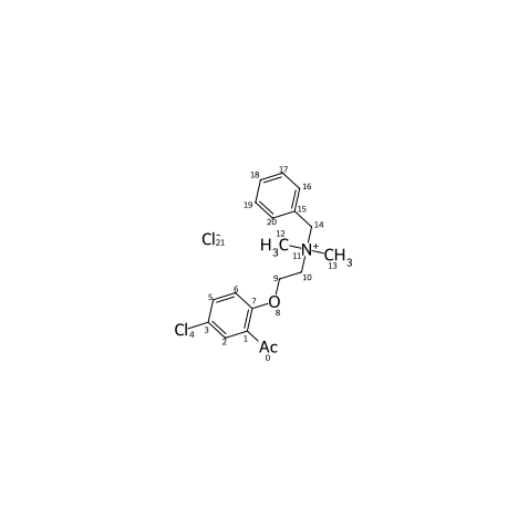 CC(=O)c1cc(Cl)ccc1OCC[N+](C)(C)Cc1ccccc1.[Cl-]